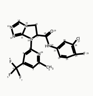 Cc1cc(C(F)(F)F)cc(N2c3nncn3CC2C(=O)Nc2ccc(F)c(Cl)c2)n1